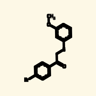 COc1cccc(SCC(=O)c2ccc(Br)cc2)c1